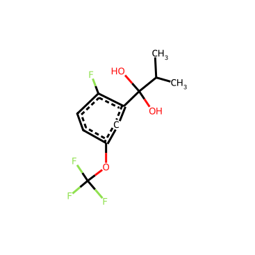 CC(C)C(O)(O)c1cc(OC(F)(F)F)ccc1F